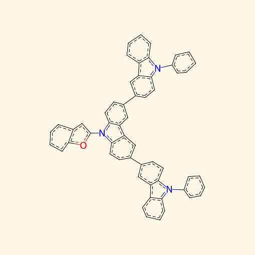 c1ccc(-n2c3ccccc3c3cc(-c4ccc5c(c4)c4cc(-c6ccc7c(c6)c6ccccc6n7-c6ccccc6)ccc4n5-c4cc5ccccc5o4)ccc32)cc1